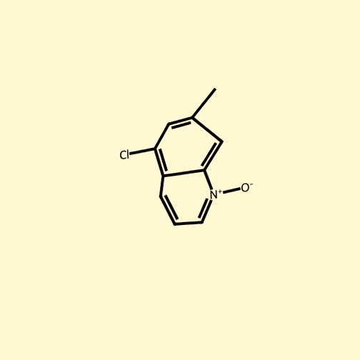 Cc1cc(Cl)c2ccc[n+]([O-])c2c1